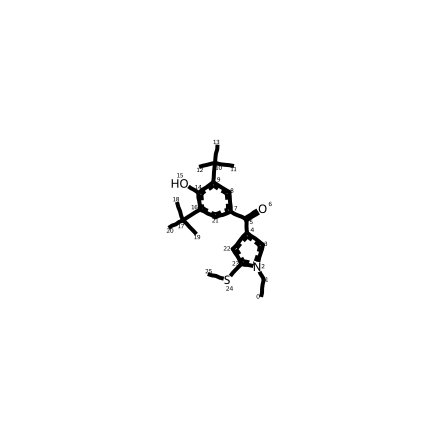 CCn1cc(C(=O)c2cc(C(C)(C)C)c(O)c(C(C)(C)C)c2)cc1SC